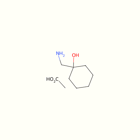 CC(=O)O.NCC1(O)CCCCC1